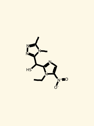 CCn1c([N+](=O)[O-])cnc1C(S)c1nnc(C)n1C